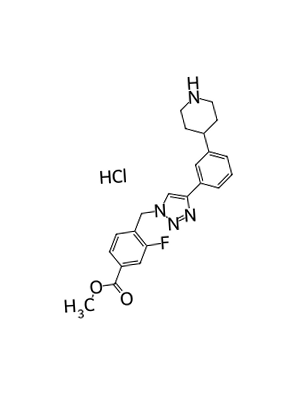 COC(=O)c1ccc(Cn2cc(-c3cccc(C4CCNCC4)c3)nn2)c(F)c1.Cl